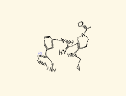 CC(=O)N1CCC(NCC2CC2)=C(C(=N)Nc2cccc(/C(C=N)=C/N)c2)C1